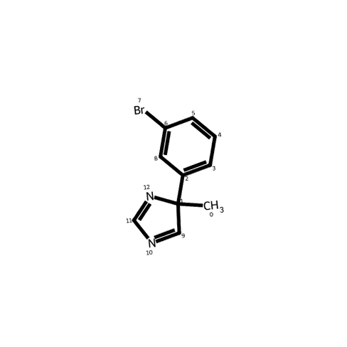 CC1(c2cccc(Br)c2)C=NC=N1